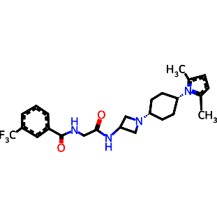 Cc1ccc(C)n1[C@H]1CC[C@@H](N2CC(NC(=O)CNC(=O)c3cccc(C(F)(F)F)c3)C2)CC1